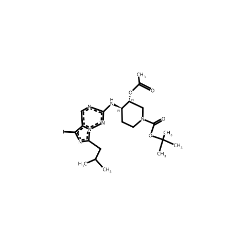 CC(=O)O[C@@H]1CN(C(=O)OC(C)(C)C)CC[C@H]1Nc1ncc2c(I)nc(CC(C)C)n2n1